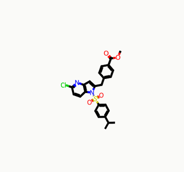 COC(=O)c1ccc(Cc2cc3nc(Cl)ccc3n2S(=O)(=O)c2ccc(C(C)C)cc2)cc1